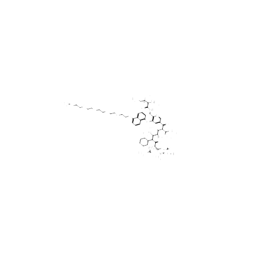 CC[C@@H](C)[C@@H](N)C(=O)NCc1ncc(C(=O)C(C(C)C)C(O)C(O)C(N)C(C(=O)[C@@H](NC(C)=O)[C@@H](C)OP(=O)(O)O)C2CCCCC2)cc1Oc1cccc2c(OCCOCCOCCOCCOCCOC)cccc12